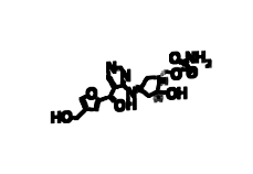 NS(=O)(=O)OC[C@H]1C[C@@H](Nc2ncncc2C(=O)c2cc(CO)co2)C[C@@H]1O